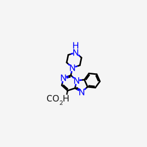 O=C(O)c1cnc(N2CCNCC2)n2c1nc1ccccc12